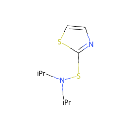 CC(C)N(Sc1nccs1)C(C)C